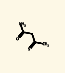 CC(=S)CC(N)=O